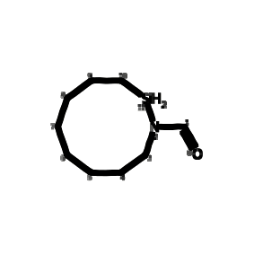 O=CN1CCCCCCCC[SiH2]1